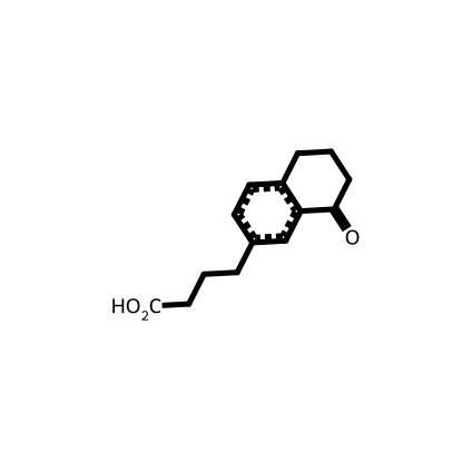 O=C(O)CCCc1ccc2c(c1)C(=O)CCC2